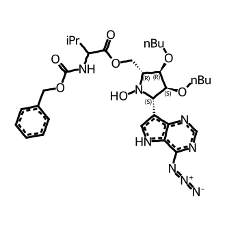 CCCCO[C@@H]1[C@H](OCCCC)[C@@H](COC(=O)C(NC(=O)OCc2ccccc2)C(C)C)N(O)[C@H]1c1c[nH]c2c(N=[N+]=[N-])ncnc12